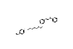 C=Cc1ccc(OCCCCCC(CC)Oc2ccc(C=CC(=O)c3ccccc3)cc2)cc1